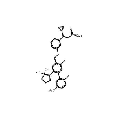 COC(=O)CC(c1cccc(OCc2cc([C@H]3CCCC3(C)C)c(-c3cc(OC)ccc3F)cc2F)c1)C1CC1